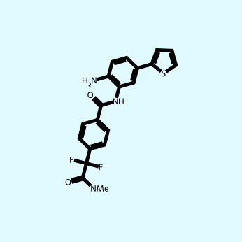 CNC(=O)C(F)(F)c1ccc(C(=O)Nc2cc(-c3cccs3)ccc2N)cc1